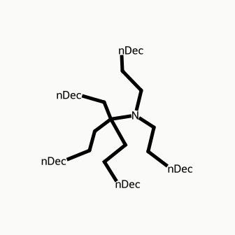 CCCCCCCCCCCCN(CCCCCCCCCCCC)C(CCCCCCCCCCC)(CCCCCCCCCCCC)CCCCCCCCCCCC